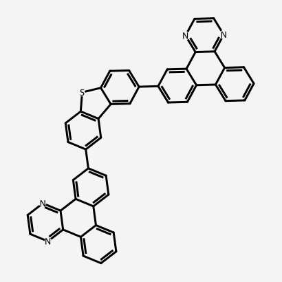 c1ccc2c(c1)c1ccc(-c3ccc4sc5ccc(-c6ccc7c8ccccc8c8nccnc8c7c6)cc5c4c3)cc1c1nccnc21